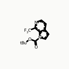 CC(C)(C)OC(=O)n1ccc2ccnc(C(F)(F)F)c21